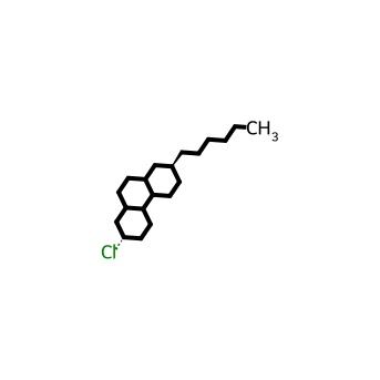 CCCCCC[C@H]1CCC2C(CCC3C[C@@H](Cl)CCC32)C1